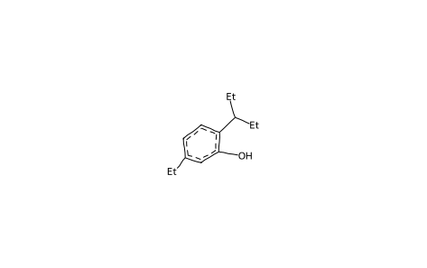 CCc1ccc(C(CC)CC)c(O)c1